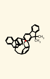 CC1(C)c2ccccc2-c2ccc(N(c3ccc4ccccc4c3)c3cc4ccc3CCc3ccc(cc3)CC4)cc21